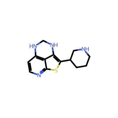 c1cc2c3c(c(C4CCCNC4)sc3n1)NCN2